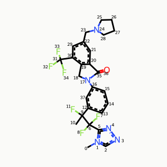 Cn1cnnc1C(F)(F)C(C)(F)c1cccc(N2Cc3c(cc(CN4CCCC4)cc3C(F)(F)F)C2=O)c1